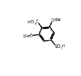 COc1cc(S(=O)(=O)O)cc(OC)c1C(=O)O